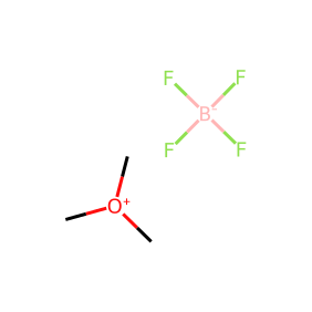 C[O+](C)C.F[B-](F)(F)F